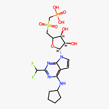 O=P(O)(O)CS(=O)(=O)CC1O[C@@H](n2ccc3c(NC4CCCC4)nc(C(F)F)nc32)[C@H](O)[C@@H]1O